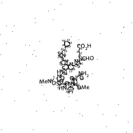 CNC(=O)C[C@H](NC(=O)c1csc(-c2ccc(-c3nc(N(C=O)CCCCC(=O)O)cs3)nc2-c2csc(-c3csc(CCc4ccccc4)n3)n2)n1)c1nc(C(=O)NC(c2nc(C(=O)NCC(N)=O)c(COC)s2)C(C)C)c(C)s1